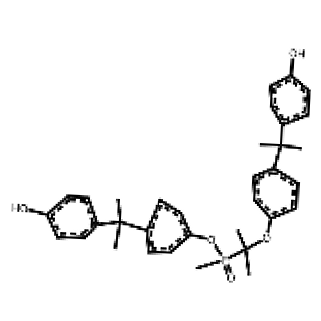 CC(C)(c1ccc(O)cc1)c1ccc(OC(C)(C)P(C)(=O)Oc2ccc(C(C)(C)c3ccc(O)cc3)cc2)cc1